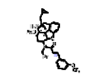 CC(=O)O[C@@]12CCC(N(CC(C)C)C(=O)/C=C/c3cccc(OC(F)(F)F)c3)C3Oc4cccc5c4[C@@]31CCN(CC1CC1)[C@@H]2C5